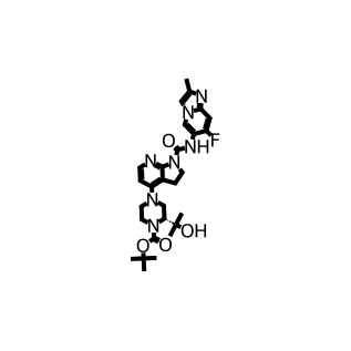 Cc1cn2cc(NC(=O)N3CCc4c(N5CCN(C(=O)OC(C)(C)C)[C@@H](C(C)(C)O)C5)ccnc43)c(F)cc2n1